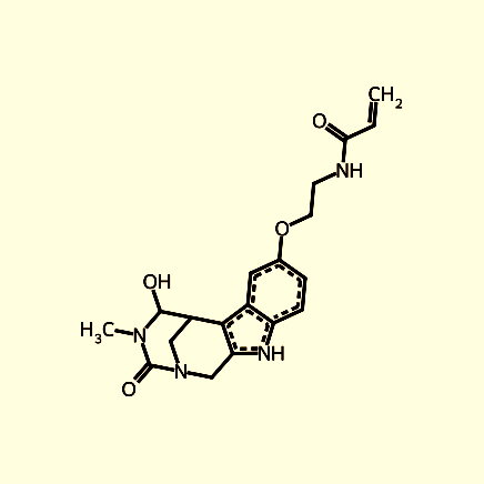 C=CC(=O)NCCOc1ccc2[nH]c3c(c2c1)C1CN(C3)C(=O)N(C)C1O